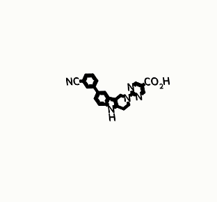 N#Cc1cccc(-c2ccc3[nH]c4c(c3c2)CN(c2ncc(C(=O)O)cn2)CC4)c1